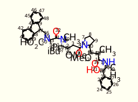 CC[C@H](C)[C@@H]([C@@H](CC(=O)N1CCCC1[C@H](OC)[C@@H](C)C(=O)N[C@H](C)[C@@H](O)c1ccccc1)OC)N(C)C(=O)C(C(C)C)N(CC1c2ccccc2-c2ccccc21)C(=O)O